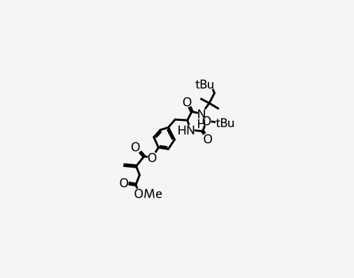 C=C(CC(=O)OC)C(=O)Oc1ccc(CC(NC(=O)OC(C)(C)C)C(=O)NC(C)(C)CC(C)(C)C)cc1